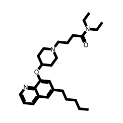 CCCCCc1cc(OC2CCN(CCCC(=O)N(CC)CC)CC2)c2ncccc2c1